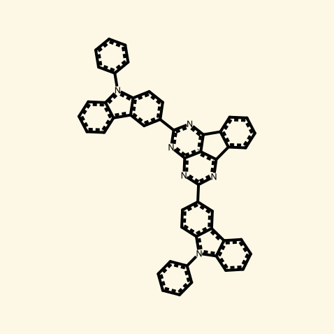 c1ccc(-n2c3ccccc3c3cc(-c4nc5c6c(nc(-c7ccc8c(c7)c7ccccc7n8-c7ccccc7)nc6n4)-c4ccccc4-5)ccc32)cc1